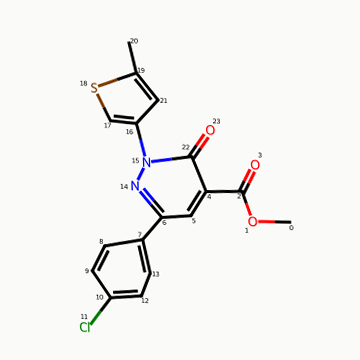 COC(=O)c1cc(-c2ccc(Cl)cc2)nn(-c2csc(C)c2)c1=O